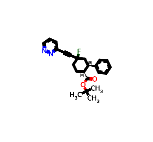 CC(C)(C)OC(=O)[C@@H]1CCC(F)(C#Cc2cccnn2)C[C@H]1c1ccccc1